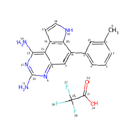 Cc1cccc(-c2cc3nc(N)nc(N)c3c3cc[nH]c23)c1.O=C(O)C(F)(F)F